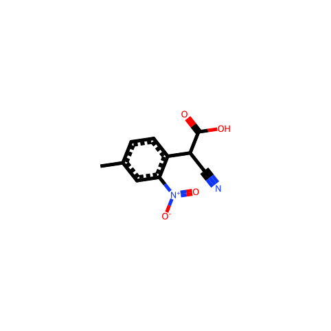 Cc1ccc(C(C#N)C(=O)O)c([N+](=O)[O-])c1